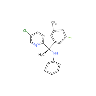 C[C@](Nc1ccccc1)(c1cc(F)cc(C(F)(F)F)c1)c1ccc(Cl)cn1